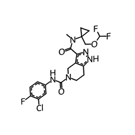 CN(C(=O)c1n[nH]c2c1CN(C(=O)Nc1ccc(F)c(Cl)c1)CC2)C1(COC(F)F)CC1